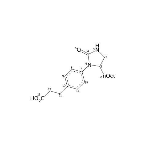 CCCCCCCCC1CNC(=O)N1c1ccc(CCC(=O)O)cc1